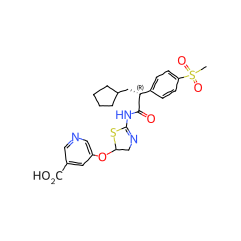 CS(=O)(=O)c1ccc([C@@H](CC2CCCC2)C(=O)NC2=NCC(Oc3cncc(C(=O)O)c3)S2)cc1